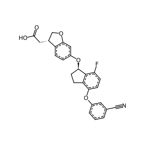 N#Cc1cccc(Oc2ccc(F)c3c2CC[C@H]3Oc2ccc3c(c2)OC[C@H]3CC(=O)O)c1